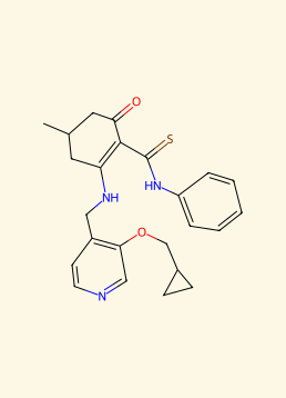 CC1CC(=O)C(C(=S)Nc2ccccc2)=C(NCc2ccncc2OCC2CC2)C1